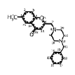 Cc1ccc2oc(CN3CCN(Cc4ccccc4)CC3)cc(=O)c2c1